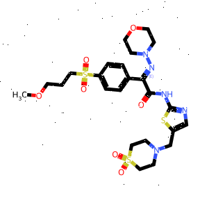 COCCCS(=O)(=O)c1ccc(/C(=N\N2CCOCC2)C(=O)Nc2ncc(CN3CCS(=O)(=O)CC3)s2)cc1